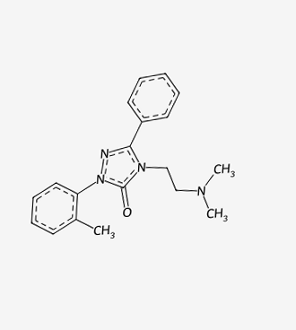 Cc1ccccc1-n1nc(-c2ccccc2)n(CCN(C)C)c1=O